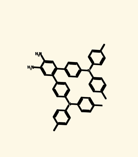 Cc1ccc(N(c2ccc(C)cc2)c2ccc(-c3cc(N)c(N)cc3-c3ccc(N(c4ccc(C)cc4)c4ccc(C)cc4)cc3)cc2)cc1